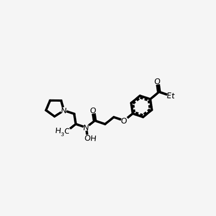 CCC(=O)c1ccc(OCCC(=O)N(O)C(C)CN2CCCC2)cc1